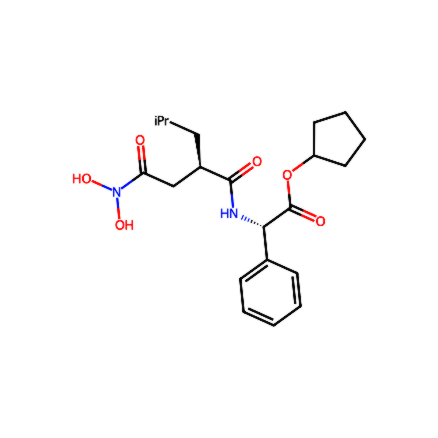 CC(C)C[C@H](CC(=O)N(O)O)C(=O)N[C@H](C(=O)OC1CCCC1)c1ccccc1